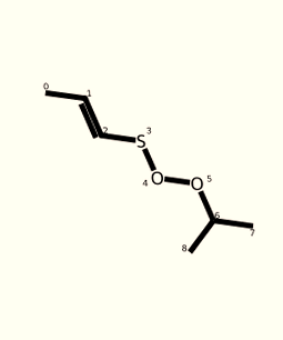 C/C=C/SOOC(C)C